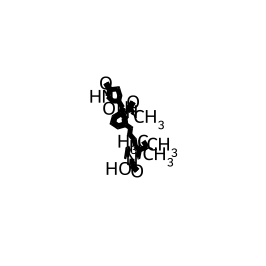 Cn1c(=O)n(C2CCC(=O)NC2=O)c2cccc(CCCN3CCN(C(=O)O)CC3C(C)(C)C)c21